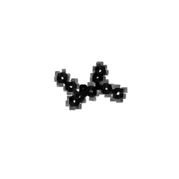 c1ccc(-c2ccc(-c3c4ccccc4cc4c3oc3cc(N(c5ccc(-c6ccccc6)cc5)c5ccc6ccccc6c5)ccc34)cc2)cc1